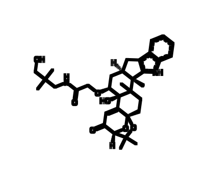 CC(C)(CO)CNC(=O)CO[C@H]1C[C@H]2Cc3c([nH]c4ccccc34)[C@]2(C)C2(C)CC[C@@]34O[C@@H](C(=O)C=C3[C@]12O)C(C)(C)O4